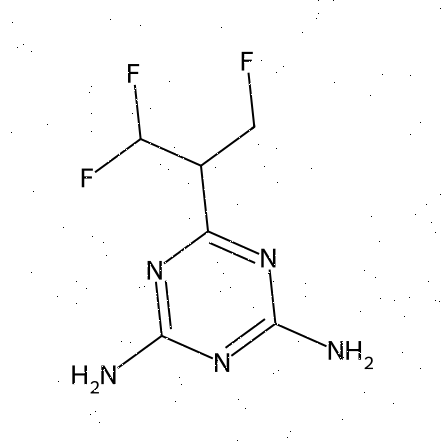 Nc1nc(N)nc(C(CF)C(F)F)n1